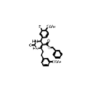 COc1cccc(CCC2=C(C(=O)OCc3ccccc3)C(c3ccc(OC)c(F)c3)NC(=O)N2)c1